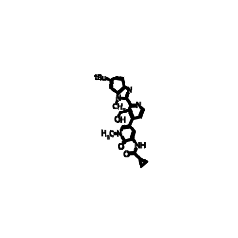 Cn1cc(-c2ccnc(-c3nc4ccc(C(C)(C)C)cc4n3C)c2CO)cc(NC(=O)C2CC2)c1=O